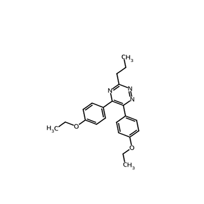 CCCc1nnc(-c2ccc(OCC)cc2)c(-c2ccc(OCC)cc2)n1